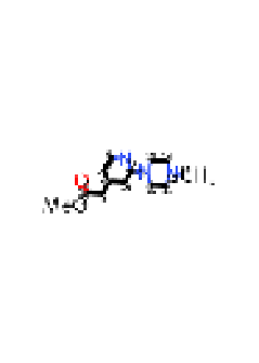 COC(=O)Cc1ccnc(N2CCN(C)CC2)c1